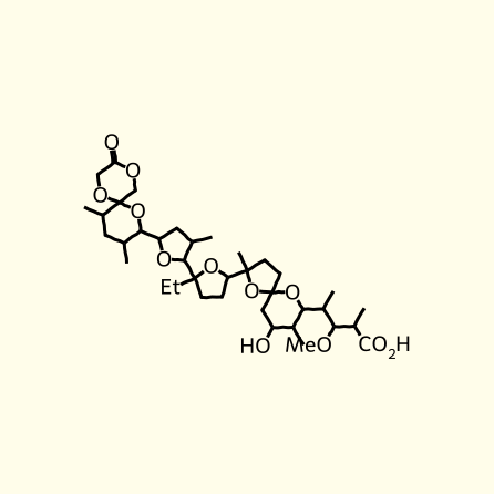 CCC1(C2OC(C3OC4(COC(=O)CO4)C(C)CC3C)CC2C)CCC(C2(C)CCC3(CC(O)C(C)C(C(C)C(OC)C(C)C(=O)O)O3)O2)O1